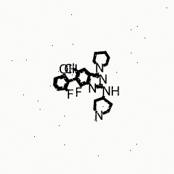 CN1CCC(Nc2nc(N3CCCCC3)c3cc(Cl)c(-c4c(O)cccc4F)c(F)c3n2)CC1